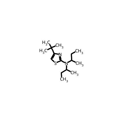 CCC(C)N(c1nc(C(C)(C)C)cs1)C(C)CC